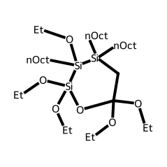 CCCCCCCC[Si]1(CCCCCCCC)CC(OCC)(OCC)O[Si](OCC)(OCC)[Si]1(CCCCCCCC)OCC